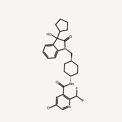 O=C(N[C@H]1CC[C@H](CN2C(=O)C(O)(C3CCCC3)c3ccccc32)CC1)c1cc(Cl)cnc1C(F)F